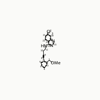 COCc1ccccc1C#CCCNc1ncnc2cc(C(F)(F)F)ccc12